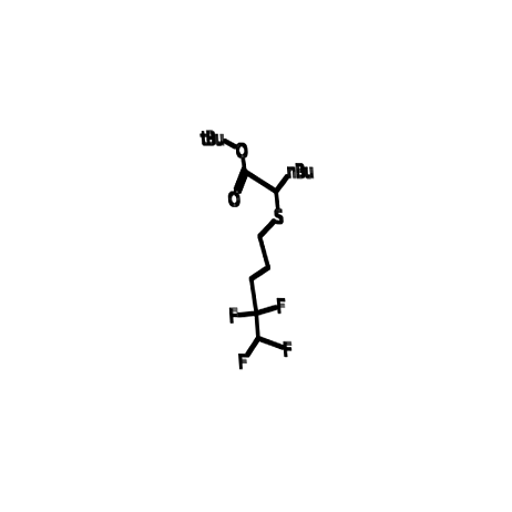 CCCCC(SCCCC(F)(F)C(F)F)C(=O)OC(C)(C)C